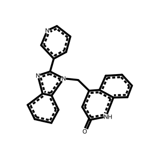 O=c1cc(Cn2c(-c3cccnc3)nc3ccccc32)c2ccccc2[nH]1